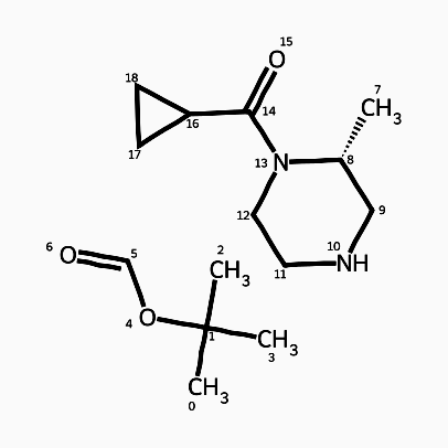 CC(C)(C)OC=O.C[C@@H]1CNCCN1C(=O)C1CC1